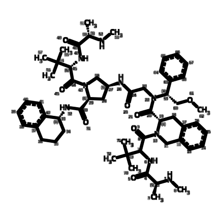 CN[C@@H](C)C(=O)NC(C(=O)N1Cc2ccccc2C[C@H]1C(=O)N(CC(=O)N[C@H]1C[C@@H](C(=O)N[C@@H]2CCCc3ccccc32)N(C(=O)[C@@H](NC(=O)[C@H](C)NC)C(C)(C)C)C1)[C@@H](COC)c1ccccc1)C(C)(C)C